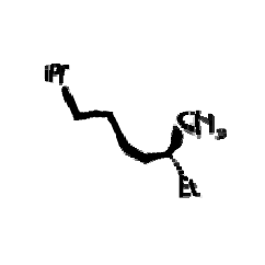 [CH2]C[C@@H](C)CCCC(C)C